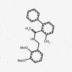 C=C(NCc1cccc(OC)c1OC)c1c(C)cccc1-c1ccccc1